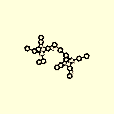 c1ccc(-c2ccc(-c3nc(-c4ccc(-c5ccc(-c6cccc7c6oc6cc(-c8nc(-c9ccc(-c%10ccccc%10)cc9)nc(-c9cccc%10ccccc9%10)n8)c(-n8c9ccccc9c9cc%10ccccc%10cc98)cc67)cc5)cc4)nc(-c4cc5oc6ccccc6c5cc4-n4c5ccccc5c5cc6ccccc6cc54)n3)cc2)cc1